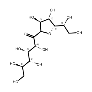 O=C(C1O[C@@H]([C@H](O)CO)[C@@H](O)[C@@H]1O)[C@H](O)[C@@H](O)[C@H](O)[C@H](O)CO